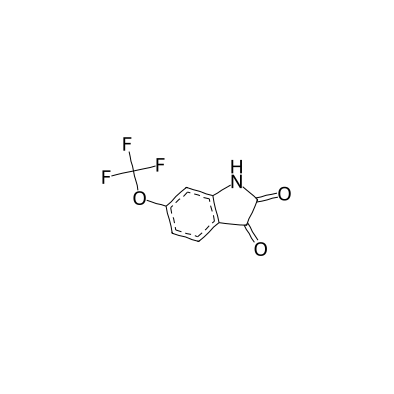 O=C1Nc2cc(OC(F)(F)F)ccc2C1=O